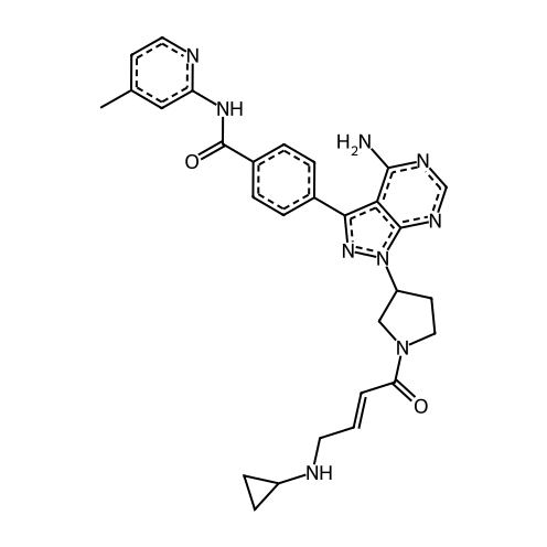 Cc1ccnc(NC(=O)c2ccc(-c3nn(C4CCN(C(=O)C=CCNC5CC5)C4)c4ncnc(N)c34)cc2)c1